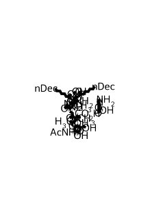 CCCCCCCCCCCCCCCC(=O)O[C@@H](CO)[C@H](OC(=O)CCCCCCCCCCCCCCC)[C@@](C)(N)C(=O)N[C@H](CCC(=O)N(CC(C)O[C@H]1[C@H](O)[C@@H](CO)O[C@H](O)[C@@H]1NC(C)=O)[C@@H](C)C(=O)O)C(N)=O.NCCO[PH](=O)O